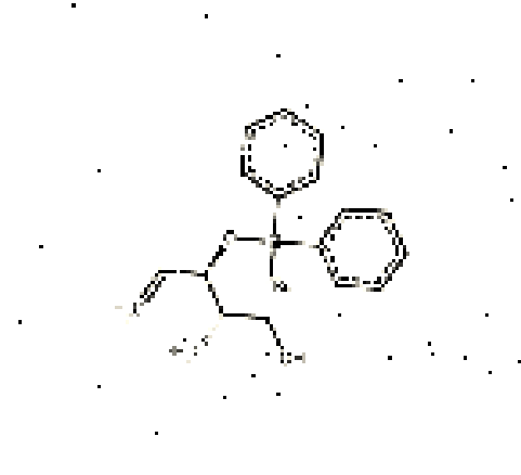 [CH2][C@@H](CO)[C@@H](C=C)O[Si](c1ccccc1)(c1ccccc1)C(C)(C)C